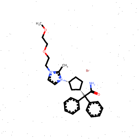 COCCOCC[n+]1ccn([C@@H]2CC[C@H](C(C(N)=O)(c3ccccc3)c3ccccc3)C2)c1C.[Br-]